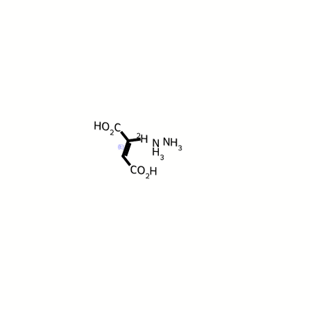 N.N.[2H]/C(=C\C(=O)O)C(=O)O